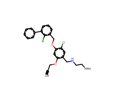 C#CCOc1cc(OCc2cccc(-c3ccccc3)c2Br)c(Cl)cc1CNCCNC